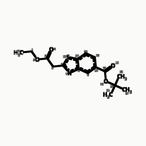 CCOC(=O)Cc1nc2cc(C(=O)OC(C)(C)C)ccc2s1